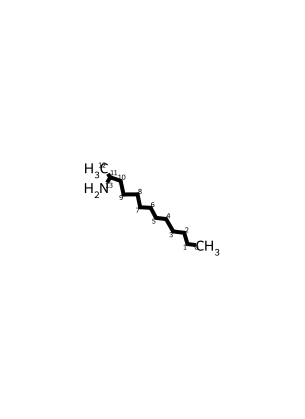 CCCCCCCCCCCC(C)N